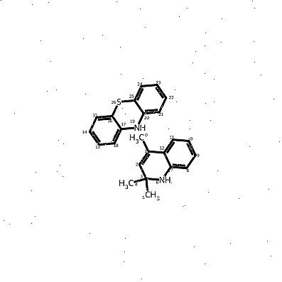 CC1=CC(C)(C)Nc2ccccc21.c1ccc2c(c1)Nc1ccccc1S2